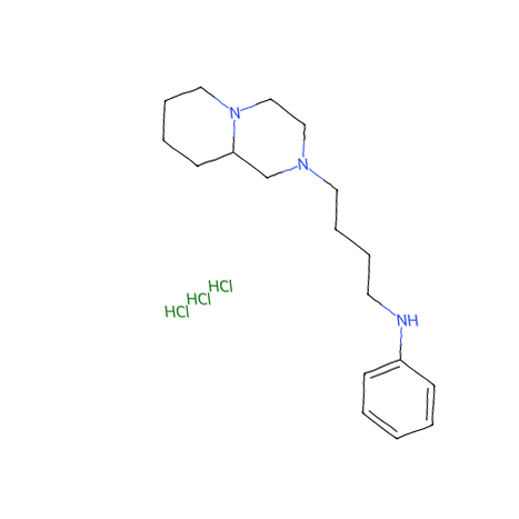 Cl.Cl.Cl.c1ccc(NCCCCN2CCN3CCCCC3C2)cc1